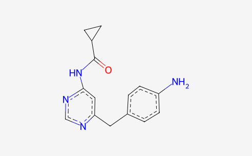 Nc1ccc(Cc2cc(NC(=O)C3CC3)ncn2)cc1